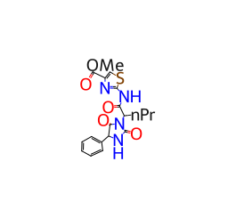 CCCC(C(=O)Nc1nc(C(=O)OC)cs1)N1C(=O)NC(c2ccccc2)C1=O